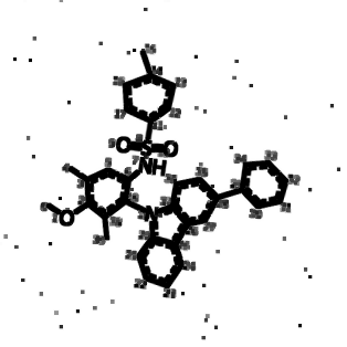 COc1c(C)cc(NS(=O)(=O)c2ccc(C)cc2)c(-n2c3ccccc3c3cc(-c4ccccc4)ccc32)c1C